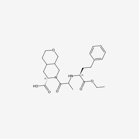 CCOC(=O)[C@H](CCc1ccccc1)NC(C)C(=O)N1CC2COCCC2C[C@H]1C(=O)O